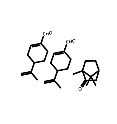 C=C(C)C1CC=C(C=O)CC1.C=C(C)C1CC=C(C=O)CC1.CC12CCC(CC1=O)C2(C)C